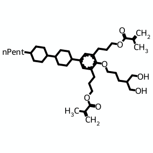 C=C(C)C(=O)OCCCc1cc(C2CCC(C3CCC(CCCCC)CC3)CC2)cc(CCCOC(=O)C(=C)C)c1OCCCC(CO)CO